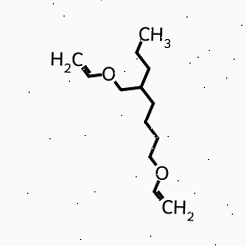 C=COCCCCC(CCC)COC=C